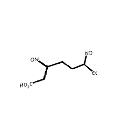 CCC(CCC(CC(=O)O)N=O)N=O